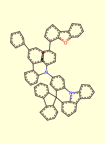 c1ccc(-c2cccc(-c3ccccc3N(c3ccc(-c4cccc5c4oc4ccccc45)cc3)c3ccc4c(c3)C3(c5ccccc5-c5ccccc53)c3cccc5c6ccccc6n-4c35)c2)cc1